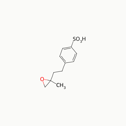 CC1(CCc2ccc(S(=O)(=O)O)cc2)CO1